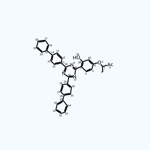 CC(=O)C(C)Oc1ccc(-c2nc(-c3ccc(-c4ccccc4)cc3)nc(-c3ccc(-c4ccccc4)cc3)n2)c(O)c1